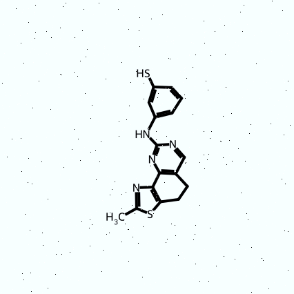 Cc1nc2c(s1)CCc1cnc(Nc3cccc(S)c3)nc1-2